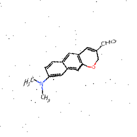 CN(C)c1ccc2cc3c(cc2c1)OCC(C=O)=C3